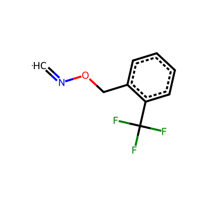 [CH]=NOCc1ccccc1C(F)(F)F